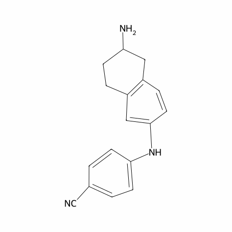 N#Cc1ccc(Nc2ccc3c(c2)CCC(N)C3)cc1